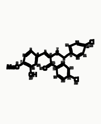 COc1ccc(/C=C(/SCc2ccc(Cl)cc2)C(=O)c2ccc(Cl)cc2)cc1O